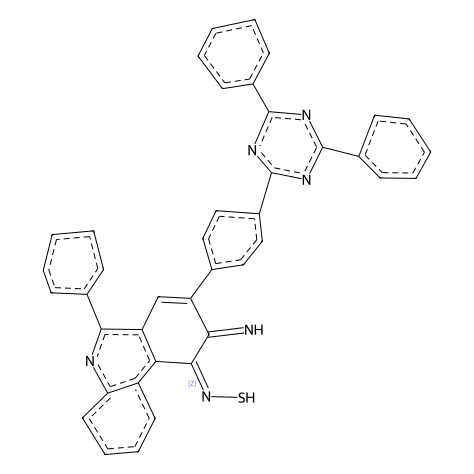 N=C1C(c2ccc(-c3nc(-c4ccccc4)nc(-c4ccccc4)n3)cc2)=Cc2c(-c3ccccc3)nc3ccccc3c2/C1=N/S